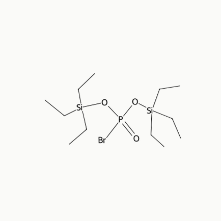 CC[Si](CC)(CC)OP(=O)(Br)O[Si](CC)(CC)CC